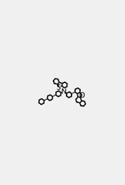 c1ccc(-c2ccc(-c3ccc(N(c4cccc(-c5cccc6oc7c8ccccc8ccc7c56)c4)c4cccc5c4sc4ccccc45)cc3)cc2)cc1